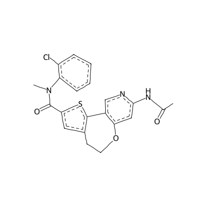 CC(=O)Nc1cc2c(cn1)-c1sc(C(=O)N(C)c3ccccc3Cl)cc1CCO2